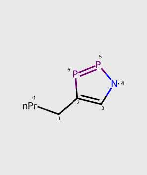 CCCCC1=C[N]P=P1